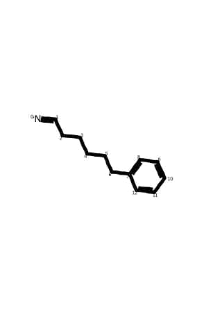 [N]=CCCCCCc1ccccc1